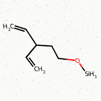 C=CC(C=C)CCO[SiH3]